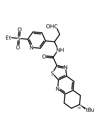 CCS(=O)(=O)c1ccc(C(CC=O)NC(=O)c2nc3cc4c(nc3s2)CC[C@H](C(C)(C)C)C4)cn1